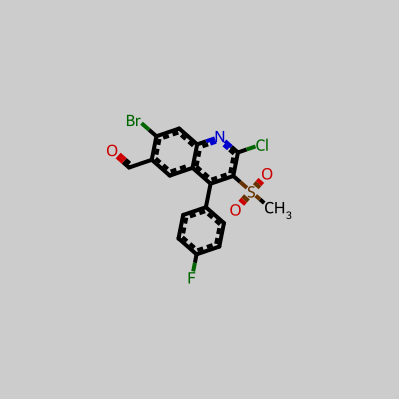 CS(=O)(=O)c1c(Cl)nc2cc(Br)c(C=O)cc2c1-c1ccc(F)cc1